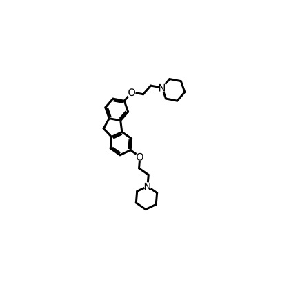 c1cc2c(cc1OCCN1CCCCC1)-c1cc(OCCN3CCCCC3)ccc1C2